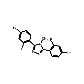 Cn1c(-c2ccc(Br)cc2F)nnc1-c1ccc(Br)cc1F